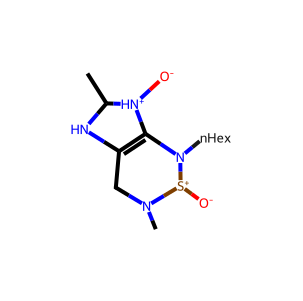 CCCCCCN1C2=C(CN(C)[S+]1[O-])NC(C)[NH+]2[O-]